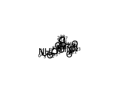 C[C@H](N)CCOc1ccc(S(=O)(=O)n2cc(C[C@@H]3NC(=O)CN(C)C3=O)c3ccccc32)cc1